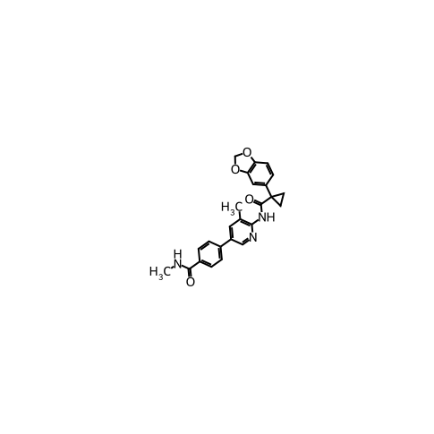 CNC(=O)c1ccc(-c2cnc(NC(=O)C3(c4ccc5c(c4)OCO5)CC3)c(C)c2)cc1